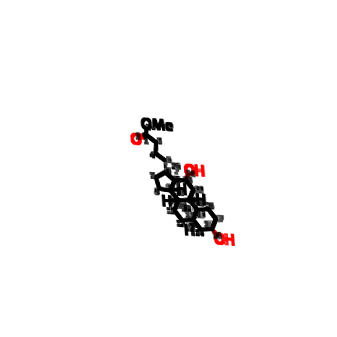 COC(=O)CCC[C@H]1CC[C@H]2[C@@H]3CC[C@@H]4C[C@H](O)CC[C@]4(C)[C@H]3C[C@H](O)[C@]12C